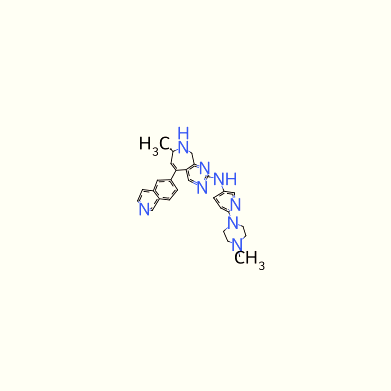 C[C@@H]1C=C(c2ccc3cnccc3c2)c2cnc(Nc3ccc(N4CCN(C)CC4)nc3)nc2CN1